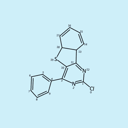 Clc1nc(-c2ccccc2)c2c(n1)C1C=CC=CC1S2